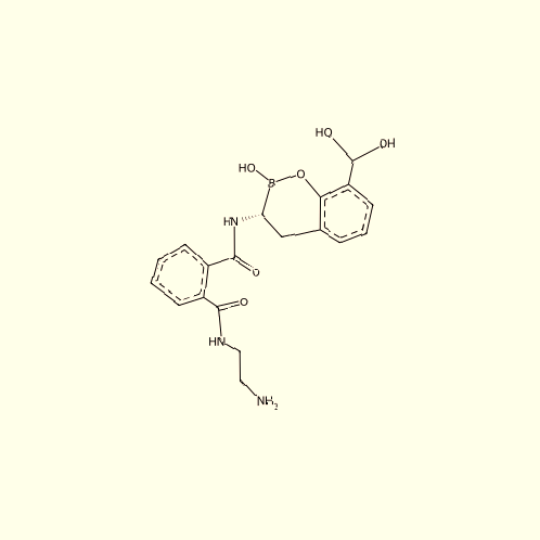 NCCNC(=O)c1ccccc1C(=O)N[C@H]1Cc2cccc(C(O)O)c2OB1O